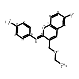 CCOCc1cc2cc(Br)ccc2o/c1=N\c1ccc(C)cc1